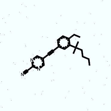 CCCCC(C)(C)c1cc(C#Cc2cnc(C#N)nc2)ccc1CC